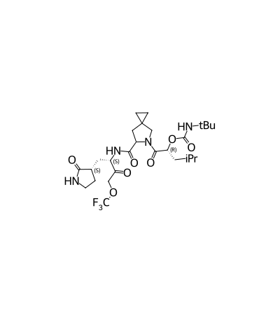 CC(C)C[C@@H](OC(=O)NC(C)(C)C)C(=O)N1CC2(CC2)CC1C(=O)N[C@@H](C[C@@H]1CCNC1=O)C(=O)COC(F)(F)F